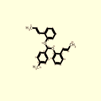 CC=Cc1ccccc1OC(Oc1ccccc1C=CC)c1ccc(C)cc1